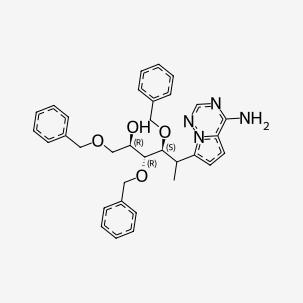 CC(c1ccc2c(N)ncnn12)[C@H](OCc1ccccc1)[C@H](OCc1ccccc1)[C@H](O)COCc1ccccc1